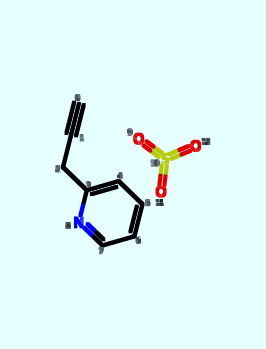 C#CCc1ccccn1.O=S(=O)=O